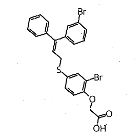 O=C(O)COc1ccc(SCC=C(c2ccccc2)c2cccc(Br)c2)cc1Br